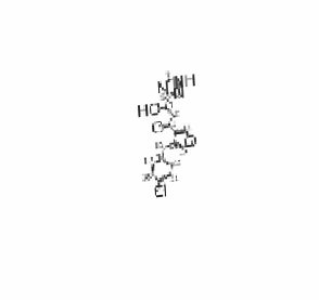 O=C(C=C(O)c1nc[nH]n1)c1cocc1Cc1ccc(Cl)cc1